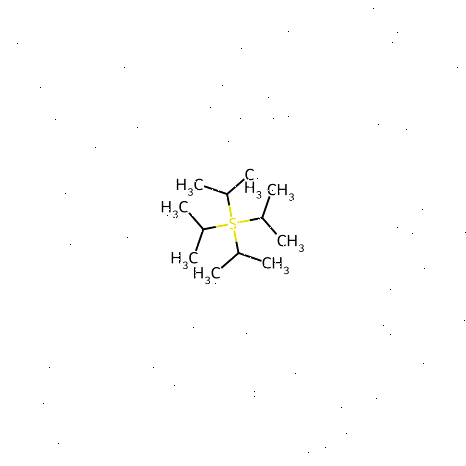 CC(C)S(C(C)C)(C(C)C)C(C)C